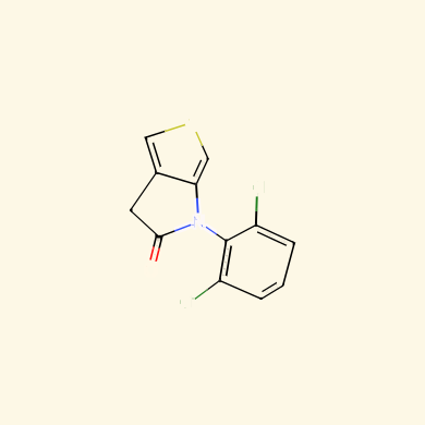 O=C1Cc2cscc2N1c1c(Cl)cccc1Cl